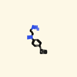 NCCNc1ccc(C=O)cc1